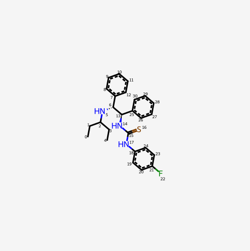 CCC(CC)N[C@H](c1ccccc1)[C@H](NC(=S)Nc1ccc(F)cc1)c1ccccc1